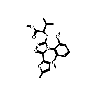 COC(=O)C(Sc1nnc(-c2ccc(C)o2)n1-c1c(OC)cccc1OC)C(C)C